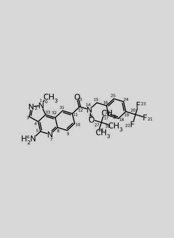 Cn1ncc2c(N)nc3ccc(C(=O)N(Cc4ccc(C(F)(F)F)cc4)OC(C)(C)C)cc3c21